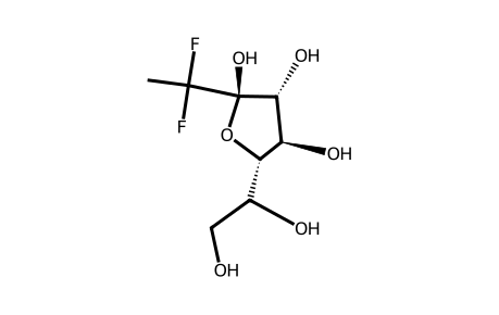 CC(F)(F)[C@@]1(O)O[C@@H](C(O)CO)[C@H](O)[C@H]1O